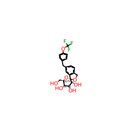 OC[C@H]1O[C@]2(OCc3ccc(Cc4ccc(OC(F)(F)F)cc4)cc32)[C@H](O)[C@@H](O)[C@@H]1O